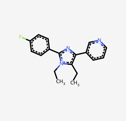 CCc1c(-c2cccnc2)nc(-c2ccc(F)cc2)n1CC